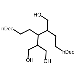 CCCCCCCCCCCCC(CO)C(CCCCCCCCCCCC)C(CO)CO